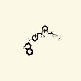 C=NC[C@@H]1CCCN1C(=O)CN1CC[C@H](Nc2cnc3ccccc3c2)C1